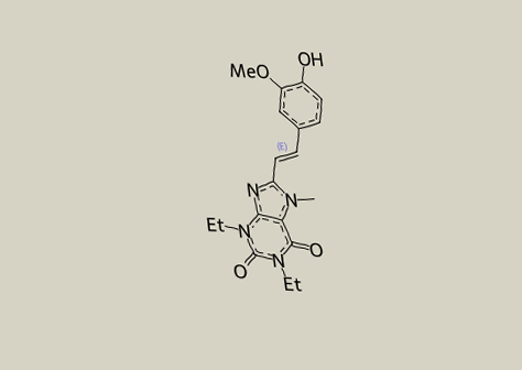 CCn1c(=O)c2c(nc(/C=C/c3ccc(O)c(OC)c3)n2C)n(CC)c1=O